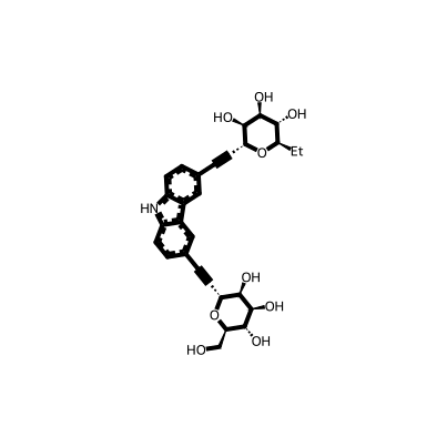 CC[C@H]1O[C@H](C#Cc2ccc3[nH]c4ccc(C#C[C@H]5O[C@H](CO)[C@@H](O)[C@H](O)[C@@H]5O)cc4c3c2)[C@@H](O)[C@@H](O)[C@@H]1O